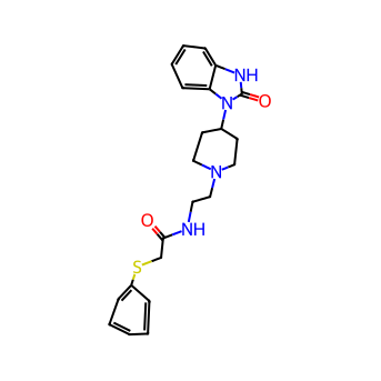 O=C(CSc1ccccc1)NCCN1CCC(n2c(=O)[nH]c3ccccc32)CC1